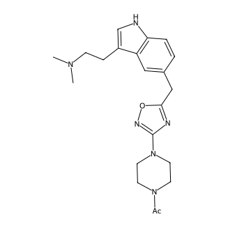 CC(=O)N1CCN(c2noc(Cc3ccc4[nH]cc(CCN(C)C)c4c3)n2)CC1